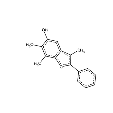 Cc1c(O)cc2c(C)c(-c3[c]cccc3)oc2c1C